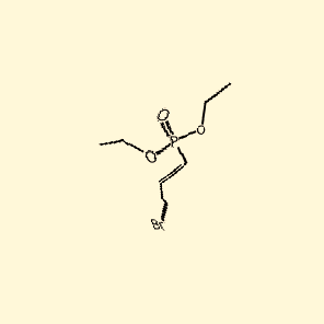 CCOP(=O)(/C=C/CBr)OCC